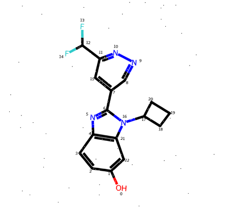 Oc1ccc2nc(-c3cnnc(C(F)F)c3)n(C3CCC3)c2c1